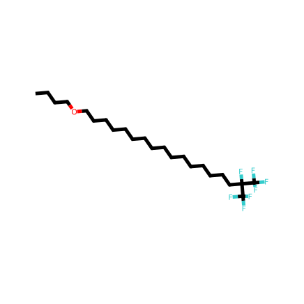 CCCCOCCCCCCCCCCCCCCCCC(F)(C(F)(F)F)C(F)(F)F